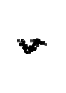 COC(=O)c1cc2c(s1)-c1cc(C#C[C@]3(O)CCN(C)C3=O)c(F)cc1OCC2